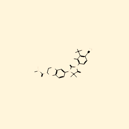 CNC(=O)[C@H]1COc2cc(N3C(=S)N(c4ccc(C#N)c(C(F)(F)F)c4F)C(=O)C3(C)C)ccc2O1